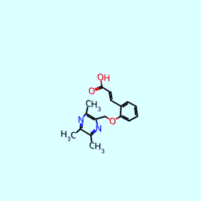 Cc1nc(C)c(COc2ccccc2/C=C/C(=O)O)nc1C